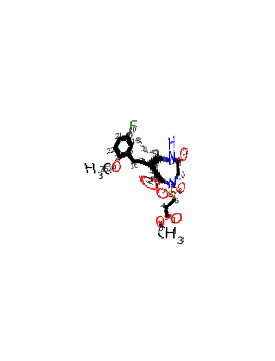 COC(=O)CCS(=O)(=O)N1CC(=O)NCC(Cc2cc(F)ccc2OC)C1=O